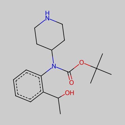 CC(O)c1ccccc1N(C(=O)OC(C)(C)C)C1CCNCC1